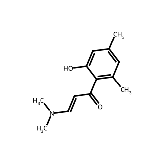 Cc1cc(C)c(C(=O)C=CN(C)C)c(O)c1